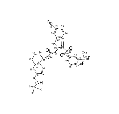 CC(C)(C)NCc1ccc2c(c1)CCC[C@H]2NC(=O)C[C@@H](Cc1cccc(C#N)c1)NS(=O)(=O)c1cccc(C(F)(F)F)c1